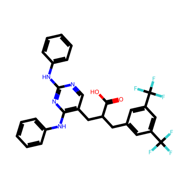 O=C(O)C(Cc1cc(C(F)(F)F)cc(C(F)(F)F)c1)Cc1cnc(Nc2ccccc2)nc1Nc1ccccc1